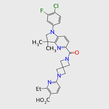 CCc1nc(N2CC3(CN(C(=O)c4ccc5c(n4)C(C)(C)CN5c4ccc(Cl)c(F)c4)C3)C2)ccc1C(=O)O